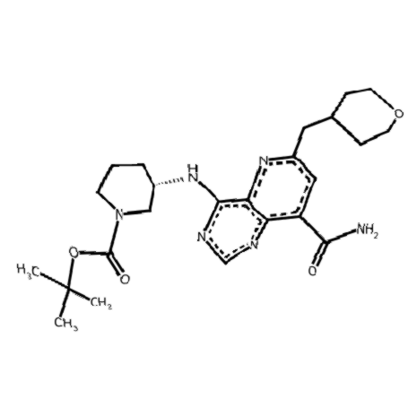 CC(C)(C)OC(=O)N1CCC[C@H](Nc2ncnc3c(C(N)=O)cc(CC4CCOCC4)nc23)C1